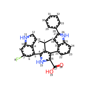 CC(C)c1c(-c2cc(F)cc3[nH]ccc23)[nH]c(C(=O)O)c1-c1cccc2[nH]c(-c3ccccc3)cc12